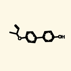 C=CC(C)Oc1ccc(-c2ccc(O)cc2)cc1